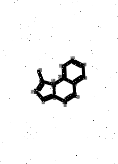 Cc1ncc2nnc3ccccc3n12